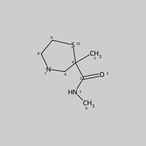 CNC(=O)C1(C)C[N]CCS1